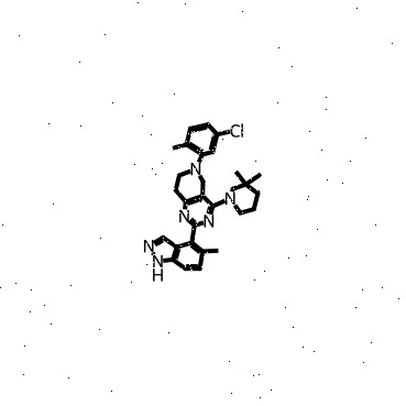 Cc1ccc(Cl)cc1N1CCc2nc(-c3c(C)ccc4[nH]ncc34)nc(N3CCCC(C)(C)C3)c2C1